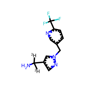 [2H]C([2H])(N)c1cnn(Cc2ccc(C(F)(F)F)nc2)c1